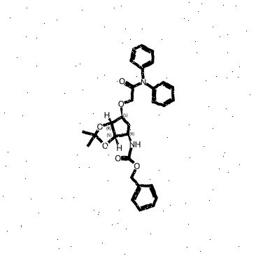 CC1(C)O[C@@H]2[C@H](O1)[C@@H](OCC(=O)N(c1ccccc1)c1ccccc1)C[C@H]2NC(=O)OCc1ccccc1